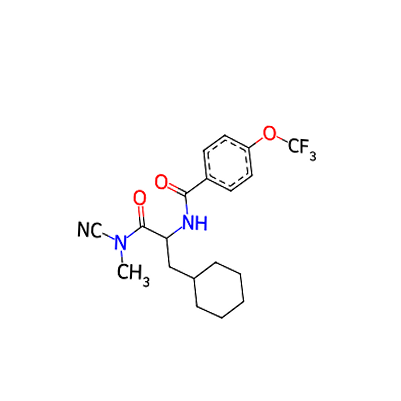 CN(C#N)C(=O)C(CC1CCCCC1)NC(=O)c1ccc(OC(F)(F)F)cc1